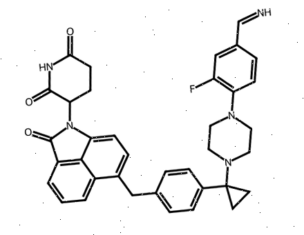 N=Cc1ccc(N2CCN(C3(c4ccc(Cc5ccc6c7c(cccc57)C(=O)N6C5CCC(=O)NC5=O)cc4)CC3)CC2)c(F)c1